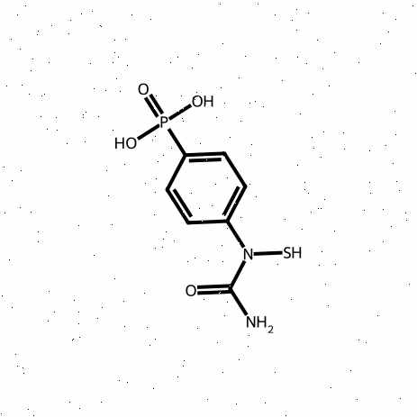 NC(=O)N(S)c1ccc(P(=O)(O)O)cc1